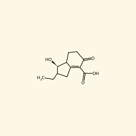 CCC1CC2=C(C(=O)O)C(=O)CCC2[C@@H]1O